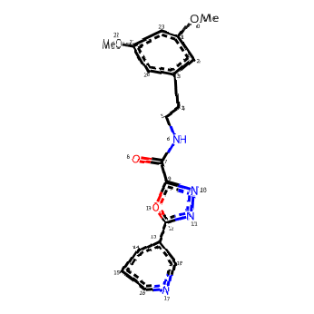 COc1cc(CCNC(=O)c2nnc(-c3cccnc3)o2)cc(OC)c1